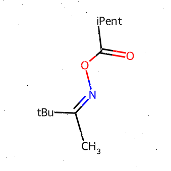 CCCC(C)C(=O)O/N=C(/C)C(C)(C)C